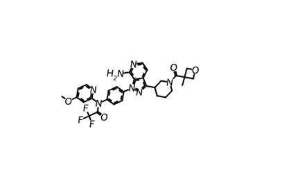 COc1ccnc(N(C(=O)C(F)(F)F)c2ccc(-n3nc(C4CCCN(C(=O)C5(C)COC5)C4)c4ccnc(N)c43)cc2)c1